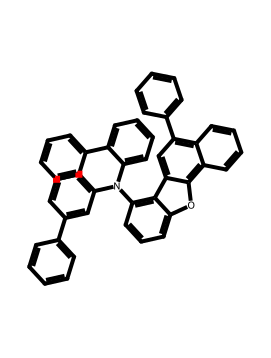 c1ccc(-c2cccc(N(c3ccccc3-c3ccccc3)c3cccc4oc5c6ccccc6c(-c6ccccc6)cc5c34)c2)cc1